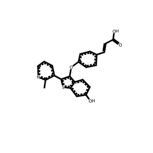 Cc1ncccc1-c1sc2cc(O)ccc2c1Oc1ccc(/C=C/C(=O)O)cc1